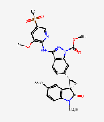 CCOc1cc(S(=O)(=O)CC)cnc1Nc1nn(C(=O)OC(C)(C)C)c2cc([C@@H]3C[C@@]34C(=O)N(C(=O)O)c3ccc(OC)cc34)ccc12